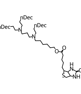 CCCCCCCCCCCCN(CCCCCCCCCCCC)CCCN(CCCCCCCCCCCC)CCCCCCOC(=O)CCCCC1SCC2NC(=O)NC21